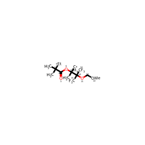 CCC(C)(C)C(=O)OC(C)(C)C(OCOC)(C(F)(F)F)C(F)(F)F